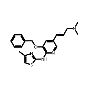 Cc1csc(Nc2ncc(/C=C/CN(C)C)cc2OCc2ccccc2)n1